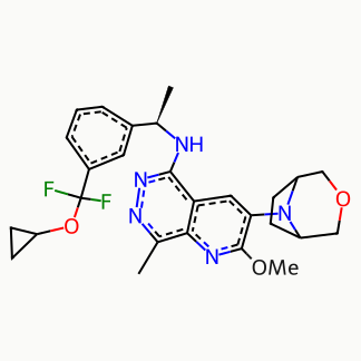 COc1nc2c(C)nnc(N[C@H](C)c3cccc(C(F)(F)OC4CC4)c3)c2cc1N1C2CCC1COC2